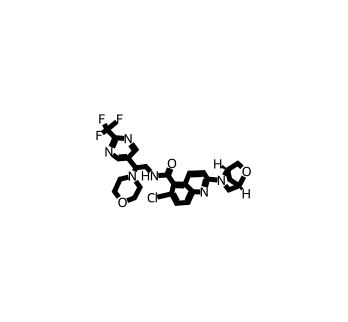 O=C(NCC(c1cnc(C(F)(F)F)nc1)N1CCOCC1)c1c(Cl)ccc2nc(N3C[C@@H]4C[C@H]3CO4)ccc12